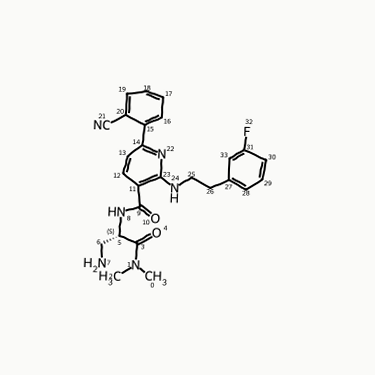 CN(C)C(=O)[C@H](CN)NC(=O)c1ccc(-c2ccccc2C#N)nc1NCCc1cccc(F)c1